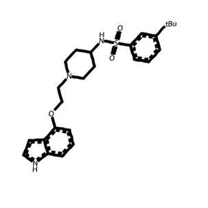 CC(C)(C)c1cccc(S(=O)(=O)NC2CCN(CCOc3cccc4[nH]ccc34)CC2)c1